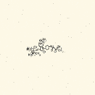 CC(C)[Si](C#Cc1cc(=O)n(C2CCC(NC(=O)CC(=O)N(C)C)CC2)c2nc(S(C)(=O)=O)ncc12)(C(C)C)C(C)C